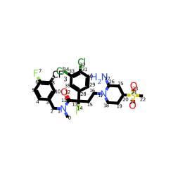 CN(Cc1ccc(F)c(C(F)(F)F)c1)C(=O)C(F)(CCN1CCC(S(C)(=O)=O)CC1N)c1ccc(Cl)c(Cl)c1